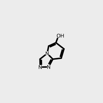 Oc1ccc2nncn2c1